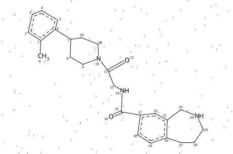 Cc1ccccc1C1CCN(C(=O)CNC(=O)c2ccc3c(c2)CNCCC3)CC1